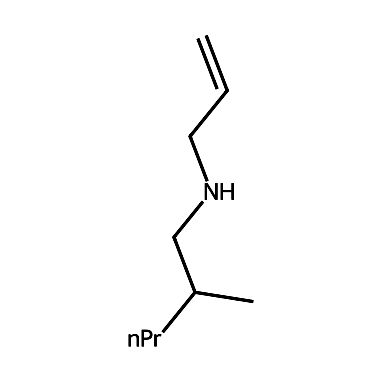 C=CCNCC(C)CCC